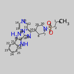 CCCS(=O)(=O)N1CCC(C2=C3C=NC=C[N+]3(N)C(c3cc4ccccc4[nH]3)=N2)CC1